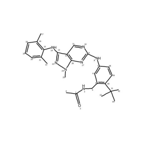 CC(=O)NCc1cc(Nc2ncc3c(Nc4c(C)cccc4C)nn(C)c3n2)ccc1C(C)(C)C